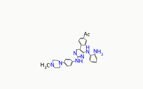 CC(=O)c1ccc(-c2cnc(Nc3ccc(N4CCN(C)CC4)cc3)nc2Nc2ccccc2N)cc1